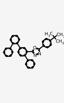 CC(C)(C)c1ccc(-c2nnc(-c3cc(-c4ccccc4-c4ccccc4)ccc3-c3ccccc3)o2)cc1